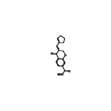 COC(=O)c1ccc2c(c1)OC/C(=C\C1=CCCC1)C2=O